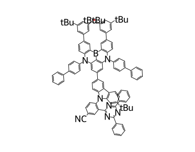 CC(C)(C)c1cc(-c2ccc3c(c2)B2c4cc(-c5cc(C(C)(C)C)cc(C(C)(C)C)c5)ccc4N(c4ccc(-c5ccccc5)cc4)c4cc(-c5ccc6c(c5)c5ccc(C(C)(C)C)cc5n6-c5ccc(C#N)cc5-c5nc(-c6ccccc6)nc(-c6ccccc6)n5)cc(c42)N3c2ccc(-c3ccccc3)cc2)cc(C(C)(C)C)c1